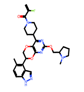 C=C(F)C(=O)N1CCC(c2nc(OCC3CCCN3C)nc3c2OCC(c2c(C)ccc4[nH]ncc24)O3)CC1